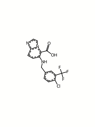 O=C(O)c1c(NCc2ccc(Cl)c(C(F)(F)F)c2)ccc2nccn12